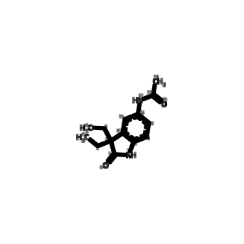 CCC1(CC)C(=O)Nc2ccc(NC(C)=O)cc21